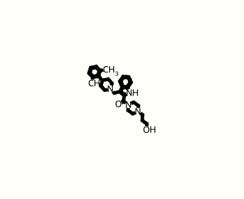 Cc1cccc(C)c1C1CCN(Cc2c(C(=O)N3CCN(CCCO)CC3)[nH]c3ccccc23)CC1